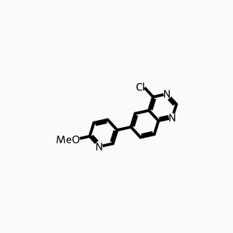 COc1ccc(-c2ccc3ncnc(Cl)c3c2)cn1